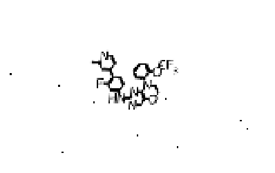 Cc1cc(-c2ccc(Nc3ncc4c(n3)N(c3ccccc3OC(F)(F)F)CCO4)cc2F)ccn1